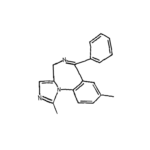 Cc1ccc2c(c1)C(c1ccccc1)=NCc1cnc(C)n1-2